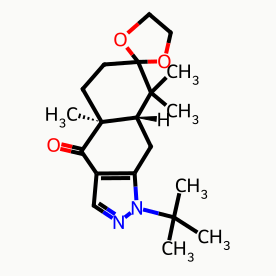 CC(C)(C)n1ncc2c1C[C@H]1C(C)(C)C3(CC[C@]1(C)C2=O)OCCO3